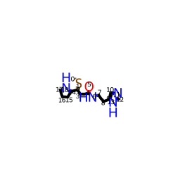 CSC(CC(=O)NCCc1cnc[nH]1)C1CCCN1